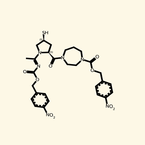 CC(=NC(=O)OCc1ccc([N+](=O)[O-])cc1)N1C[C@@H](S)C[C@H]1C(=O)N1CCCN(C(=O)OCc2ccc([N+](=O)[O-])cc2)CC1